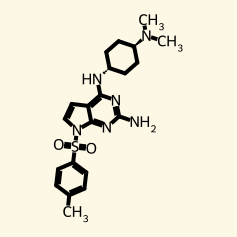 Cc1ccc(S(=O)(=O)n2ccc3c(N[C@H]4CC[C@H](N(C)C)CC4)nc(N)nc32)cc1